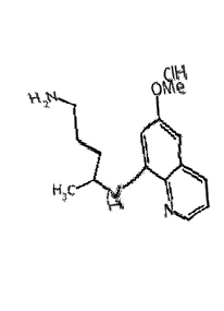 COc1cc(NC(C)CCCN)c2ncccc2c1.Cl